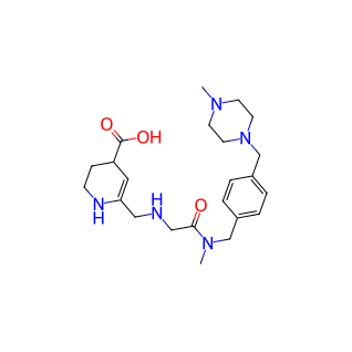 CN1CCN(Cc2ccc(CN(C)C(=O)CNCC3=CC(C(=O)O)CCN3)cc2)CC1